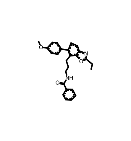 CCc1nc2ccc(-c3ccc(OC)cc3)c(CCCNC(=O)c3ccccc3)c2o1